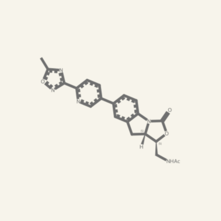 CC(=O)NC[C@@H]1OC(=O)N2c3ccc(-c4ccc(-c5noc(C)n5)nc4)cc3C[C@@H]12